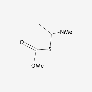 CNC(C)SC(=O)OC